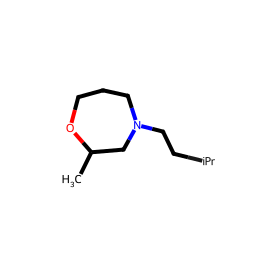 CC(C)CCN1CCCOC(C)C1